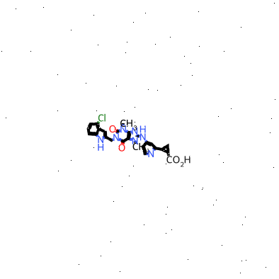 Cn1c(Nc2ccnc(C3CC3C(=O)O)c2)nc2c1c(=O)n(Cc1cc3c(Cl)cccc3[nH]1)c(=O)n2C